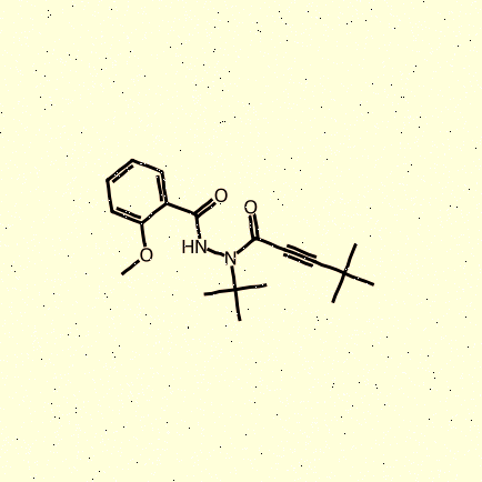 COc1ccccc1C(=O)NN(C(=O)C#CC(C)(C)C)C(C)(C)C